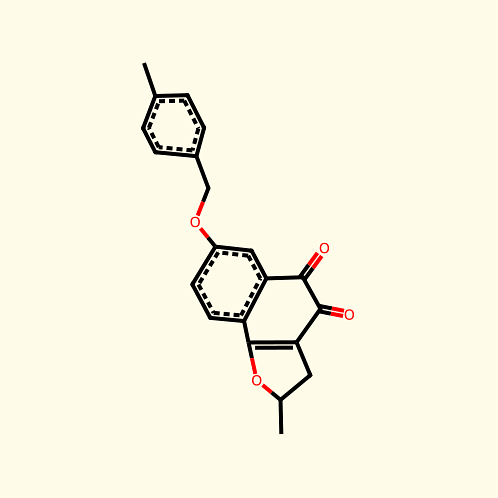 Cc1ccc(COc2ccc3c(c2)C(=O)C(=O)C2=C3OC(C)C2)cc1